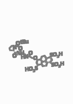 CC(C)(C)OC(=O)N1CCC[C@H]1C(=O)NCCNC(=O)COc1cc(S(=O)(=O)O)c2ccc3c(S(=O)(=O)O)cc(S(=O)(=O)O)c4ccc1c2c43